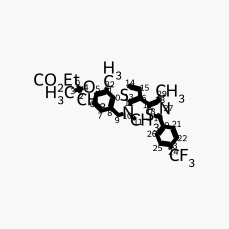 CCOC(=O)C(C)(C)Oc1ccc(CN(C)c2sccc2-c2sc(-c3ccc(C(F)(F)F)cc3)nc2C)cc1C